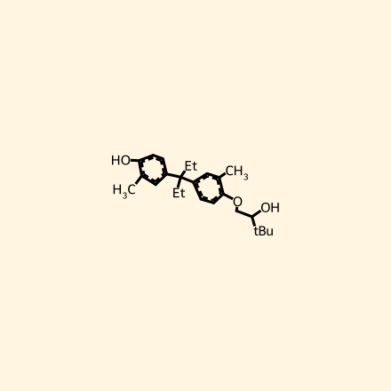 CCC(CC)(c1ccc(O)c(C)c1)c1ccc(OCC(O)C(C)(C)C)c(C)c1